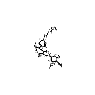 CCCCCc1ccc(-c2c([O])cc(F)c(CCc3cc(F)c(C#N)c(F)c3)c2F)c(F)c1